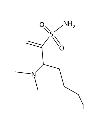 C=C(C(CCCI)N(C)C)S(N)(=O)=O